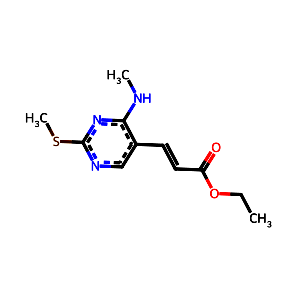 CCOC(=O)C=Cc1cnc(SC)nc1NC